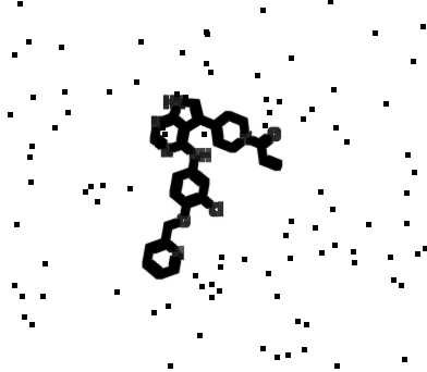 C=CC(=O)N1CC=C(c2c[nH]c3ncnc(Nc4ccc(OCc5ccccn5)c(Cl)c4)c23)CC1